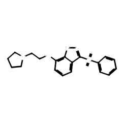 O=S(=O)(c1ccccc1)c1n[nH]c2c(OCCN3CCCC3)cccc12